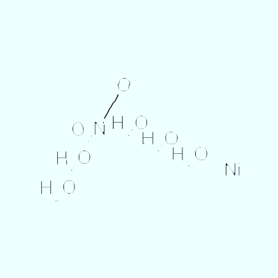 O.O.O.O.O.O=[N+]([O-])[O-].[Ni]